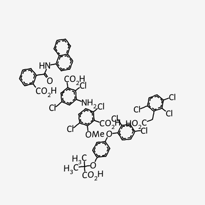 CC(C)(Oc1ccc(Oc2ccc(Cl)cc2Cl)cc1)C(=O)O.COc1c(Cl)ccc(Cl)c1C(=O)O.Nc1cc(Cl)cc(C(=O)O)c1Cl.O=C(O)Cc1c(Cl)ccc(Cl)c1Cl.O=C(O)c1ccccc1C(=O)Nc1cccc2ccccc12